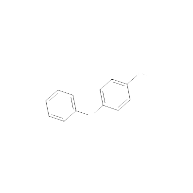 CC(C)(C)c1c[c]c(Oc2ccccc2)cc1